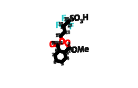 COC(=O)C1CCCCC1C(=O)OCCC(F)C(F)(F)S(=O)(=O)O